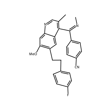 C/N=C(/c1ccc(C#N)cc1)c1c(C)cnc2cc(OC)c(CCc3ccc(F)cc3)cc12